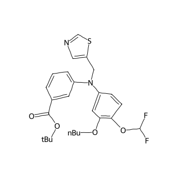 CCCCOc1cc(N(Cc2cncs2)c2cccc(C(=O)OC(C)(C)C)c2)ccc1OC(F)F